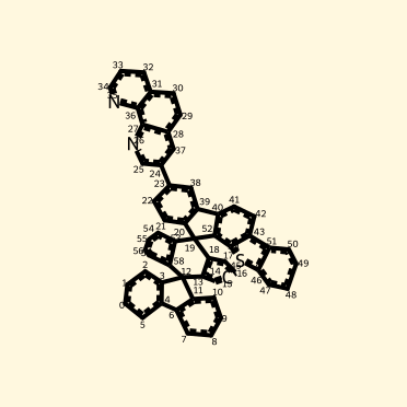 c1ccc2c(c1)-c1ccccc1C21c2ccccc2C2(c3ccc(-c4cnc5c(ccc6cccnc65)c4)cc3-c3ccc4c(sc5ccccc54)c32)c2ccccc21